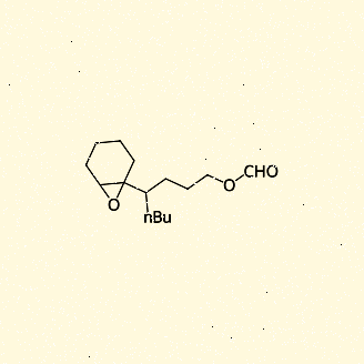 CCCCC(CCCOC=O)C12CCCCC1O2